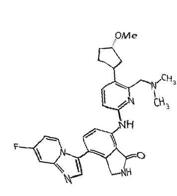 CO[C@H]1CCC(c2ccc(Nc3ccc(-c4cnc5cc(F)ccn45)c4c3C(=O)NC4)nc2CN(C)C)C1